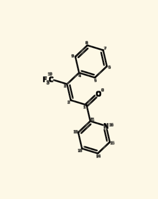 O=C(/C=C(\c1ccccc1)C(F)(F)F)c1ccccn1